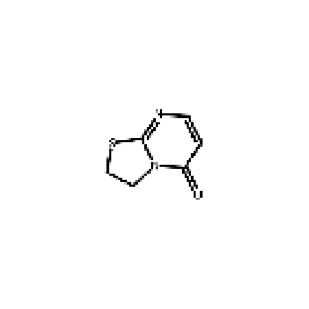 O=c1ccnc2n1CCS2